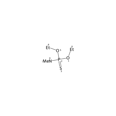 CCOP(=S)([N]C)OCC